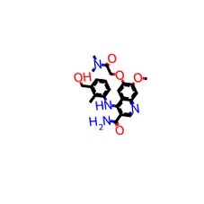 COc1cc2ncc(C(N)=O)c(Nc3cccc(CO)c3C)c2cc1OCC(=O)N(C)C